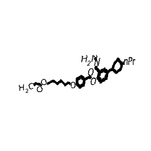 C=CC(=O)OCCCCCCOc1ccc(C(=O)Oc2ccc(C3CCC(CCC)CC3)cc2/C=N/N)cc1